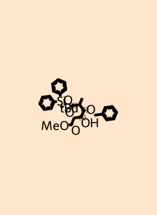 COC(=O)C1O[C@@H](O[Si](c2ccccc2)(c2ccccc2)C(C)(C)C)C(C)[C@H](OCc2ccccc2)[C@@H]1O